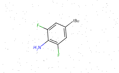 CC(C)(C)c1cc(F)c(N)c(F)c1